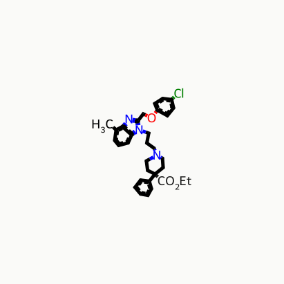 CCOC(=O)C1(c2ccccc2)CCN(CCCn2c(COc3ccc(Cl)cc3)nc3c(C)cccc32)CC1